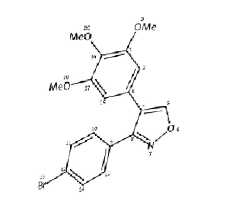 COc1cc(-c2conc2-c2ccc(Br)cc2)cc(OC)c1OC